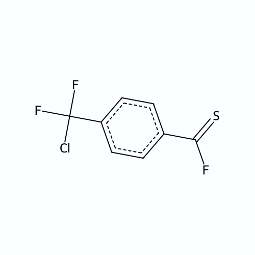 FC(=S)c1ccc(C(F)(F)Cl)cc1